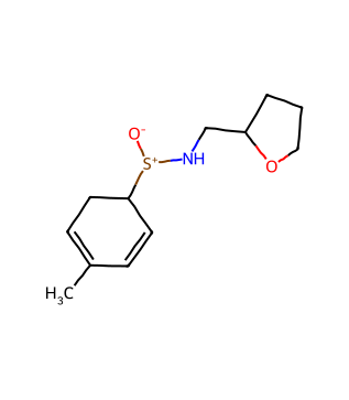 CC1=CCC([S+]([O-])NCC2CCCO2)C=C1